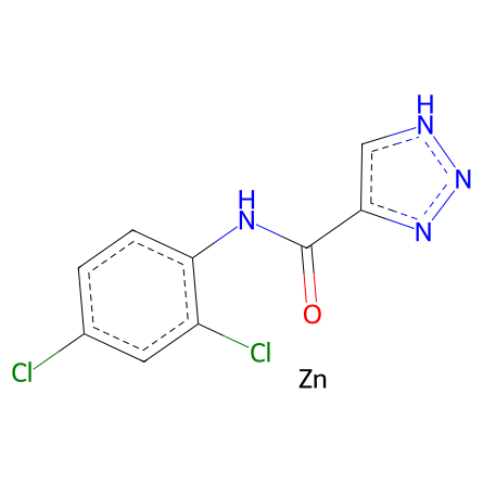 O=C(Nc1ccc(Cl)cc1Cl)c1c[nH]nn1.[Zn]